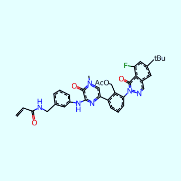 C=CC(=O)NCc1cccc(Nc2nc(-c3cccc(-n4ncc5cc(C(C)(C)C)cc(F)c5c4=O)c3COC(C)=O)cn(C)c2=O)c1